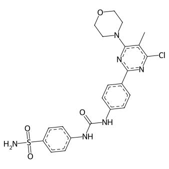 Cc1c(Cl)nc(-c2ccc(NC(=O)Nc3ccc(S(N)(=O)=O)cc3)cc2)nc1N1CCOCC1